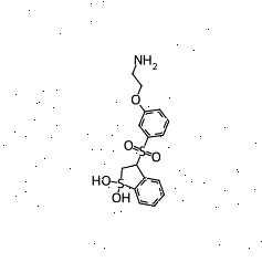 NCCOc1cccc(S(=O)(=O)C2CS(O)(O)c3ccccc32)c1